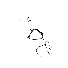 Cn1nnc(-c2ccc(O[Si](C)(C)C(C)(C)C)cc2)c1CO